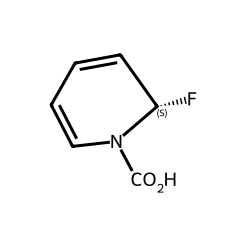 O=C(O)N1C=CC=C[C@@H]1F